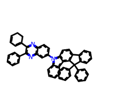 C1=CCCC(c2nc3ccc(-n4c5ccccc5c5c6c(ccc54)-c4ccccc4C6(c4ccccc4)c4ccccc4)cc3nc2-c2ccccc2)=C1